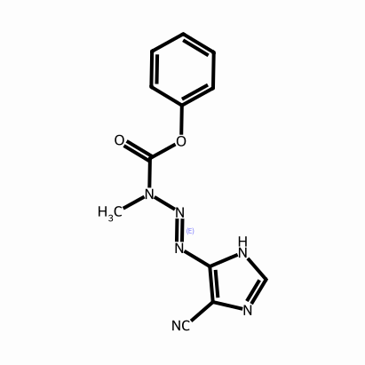 CN(/N=N/c1[nH]cnc1C#N)C(=O)Oc1ccccc1